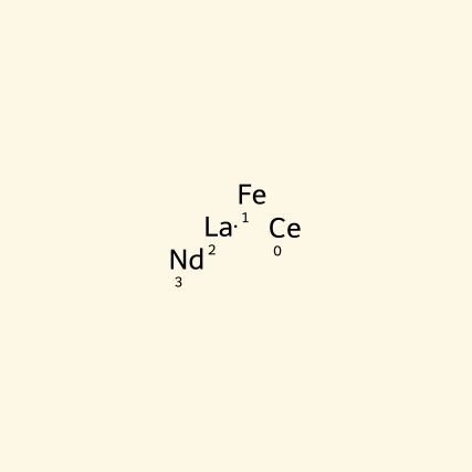 [Ce].[Fe].[La].[Nd]